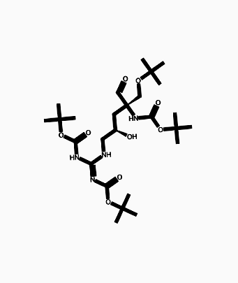 CC(C)(C)OC[C@](C=O)(C[C@@H](O)CN/C(=N\C(=O)OC(C)(C)C)NC(=O)OC(C)(C)C)NC(=O)OC(C)(C)C